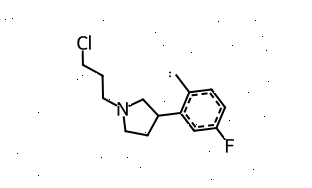 [CH]c1ccc(F)cc1C1CCN(CCCCl)C1